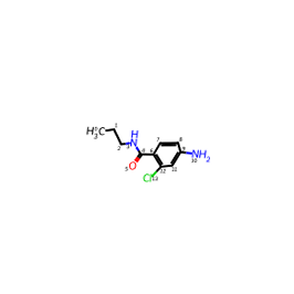 CCCNC(=O)c1ccc(N)cc1Cl